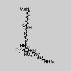 CNCCCCCCCC(=O)NCCOCCOCCNc1cc(NCCOCCOCCNC(C)=O)c([N+](=O)[O-])cc1[N+](=O)[O-]